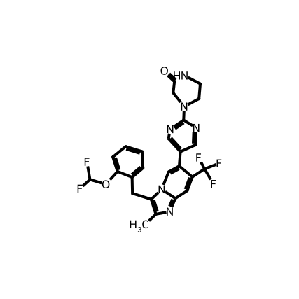 Cc1nc2cc(C(F)(F)F)c(-c3cnc(N4CCNC(=O)C4)nc3)cn2c1Cc1ccccc1OC(F)F